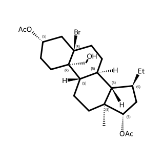 CC[C@H]1C[C@H](OC(C)=O)[C@@]2(C)CC[C@H]3[C@@H](CC[C@@]4(Br)C[C@@H](OC(C)=O)CC[C@]34CO)[C@H]12